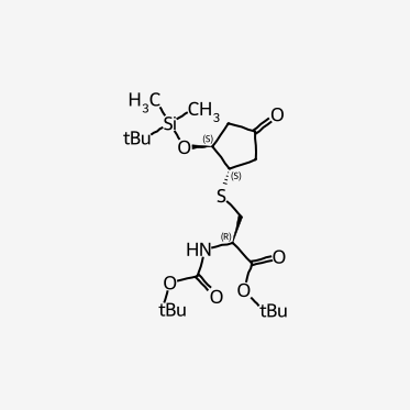 CC(C)(C)OC(=O)N[C@@H](CS[C@H]1CC(=O)C[C@@H]1O[Si](C)(C)C(C)(C)C)C(=O)OC(C)(C)C